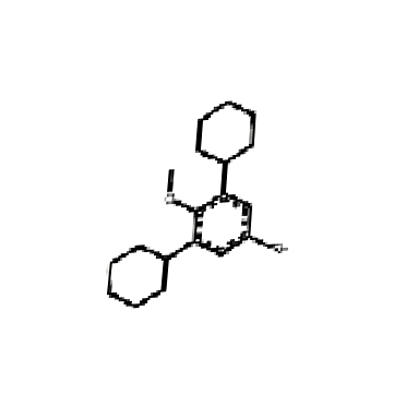 COc1c(C2CCCCC2)cc(S)cc1C1CCCCC1